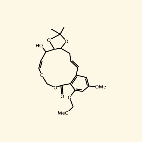 COCOc1cc(OC)cc2c1C(=O)OCC/C=C\C(O)C1OC(C)(C)OC1C/C=C/2